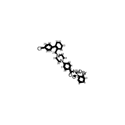 O=C(NS(=O)(=O)c1ccccc1Br)c1ccc(N2CCN(CC3=C(c4ccc(Cl)cc4)CCCC3)CC2)cc1